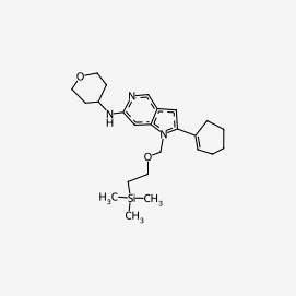 C[Si](C)(C)CCOCn1c(C2=CCCCC2)cc2cnc(NC3CCOCC3)cc21